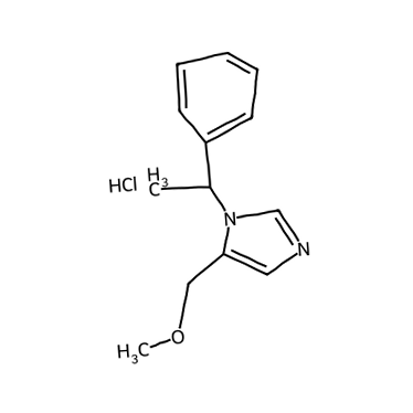 COCc1cncn1C(C)c1ccccc1.Cl